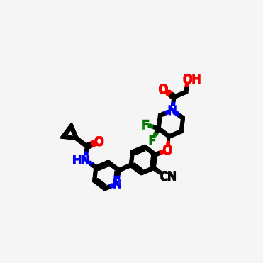 N#Cc1cc(-c2cc(NC(=O)C3CC3)ccn2)ccc1O[C@@H]1CCN(C(=O)CO)CC1(F)F